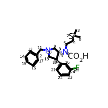 C[Si](C)(C)CCN(C(=O)O)[C@H]1CN(Cc2ccccc2)C[C@@H]1c1cccc(F)c1